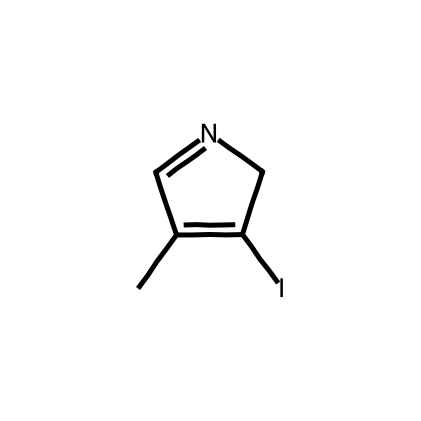 CC1=C(I)CN=C1